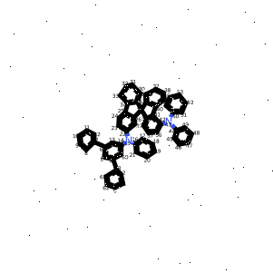 c1ccc(-c2cc(-c3ccccc3)cc(N(c3ccccc3)c3ccc4c(c3)C3(c5ccccc5-4)c4ccccc4-c4c(N(c5ccccc5)c5ccccc5)cccc43)c2)cc1